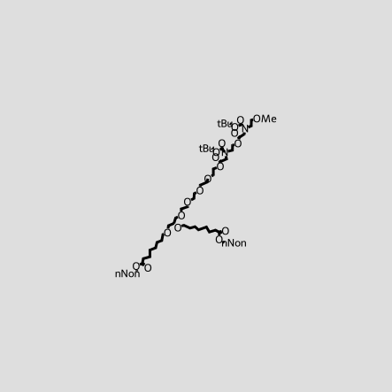 CCCCCCCCCOC(=O)CCCCCCCOCC(COCCOCCOCCOCCOC(=O)CN(CCOC(=O)CN(CCOC)C(=O)OC(C)(C)C)C(=O)OC(C)(C)C)OCCCCCCCC(=O)OCCCCCCCCC